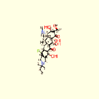 CCC(C)(C)N1Cc2c(O)c3c(c(F)c2C1)C[C@H]1C[C@H]2[C@H](N(C)C)C(O)=C(C(C)=O)C(=O)[C@@]2(O)C(O)=C1C3=O